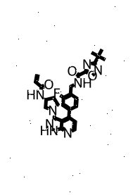 C=CC(=O)N[C@@H]1CCN(c2n[nH]c3nccc(-c4ccc(CNC(=O)c5nc(C(C)(C)C)no5)c(F)c4)c23)C1